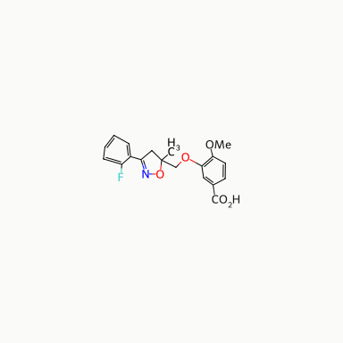 COc1ccc(C(=O)O)cc1OCC1(C)CC(c2ccccc2F)=NO1